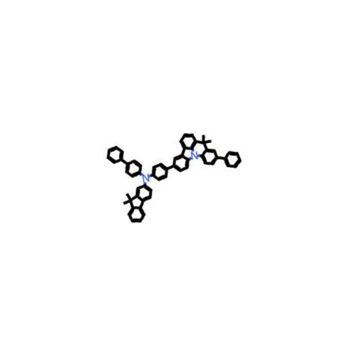 CC1(C)c2ccccc2-c2ccc(N(c3ccc(-c4ccccc4)cc3)c3ccc(-c4ccc5c(c4)c4cccc6c4n5-c4ccc(-c5ccccc5)cc4C6(C)C)cc3)cc21